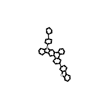 c1ccc(-c2ccc(-n3c4ccccc4c4cc5c6ccc(-c7ccc8c(c7)oc7ccccc78)cc6c6ccccc6c5cc43)cc2)cc1